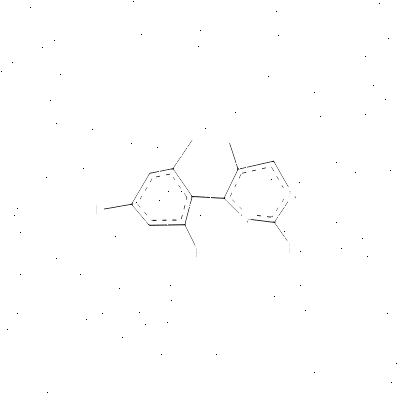 Cc1cnc(Br)nc1-c1c(C)cc(F)cc1F